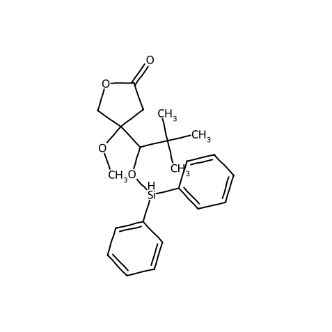 COC1(C(O[SiH](c2ccccc2)c2ccccc2)C(C)(C)C)COC(=O)C1